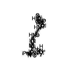 Cc1cc(C)c(CNC(=O)c2cc(-c3ccc(N4CCN(CCNC(=O)CCCCNc5cccc6c5C(=O)N(C5CCC(=O)NC5=O)C6=O)CC4)nc3)cc3c2cnn3C(C)C)c(=O)[nH]1